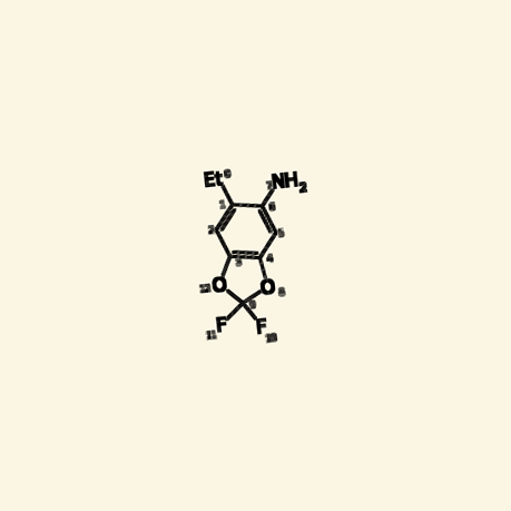 CCc1cc2c(cc1N)OC(F)(F)O2